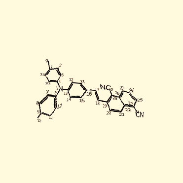 Cc1ccc(N(c2ccc(C)cc2)c2ccc(C=Cc3ccc4c(C#N)cccc4c3C#N)cc2)cc1